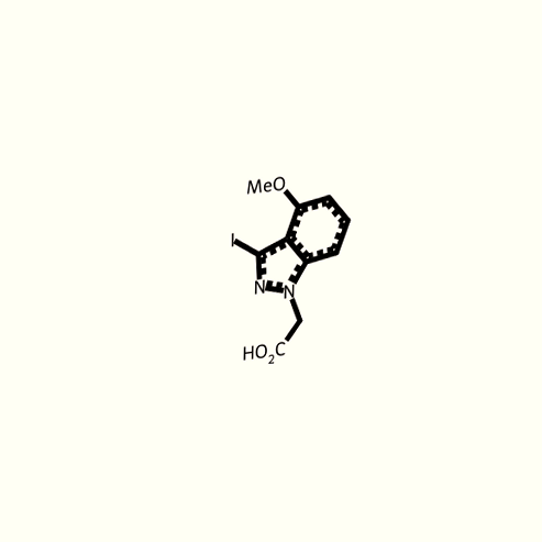 COc1cccc2c1c(I)nn2CC(=O)O